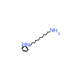 NCCCCCCCCCCCNc1ccccc1